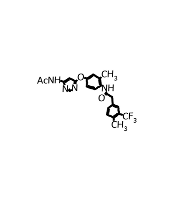 CC(=O)Nc1cc(Oc2ccc(NC(=O)Cc3ccc(C)c(C(F)(F)F)c3)c(C)c2)ncn1